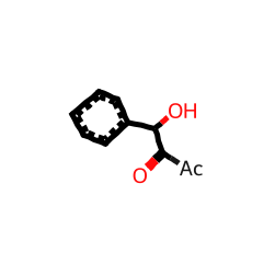 CC(=O)C(=O)C(O)c1ccccc1